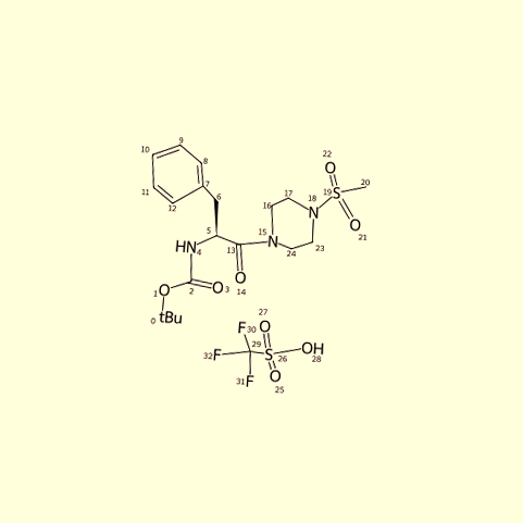 CC(C)(C)OC(=O)N[C@@H](Cc1ccccc1)C(=O)N1CCN(S(C)(=O)=O)CC1.O=S(=O)(O)C(F)(F)F